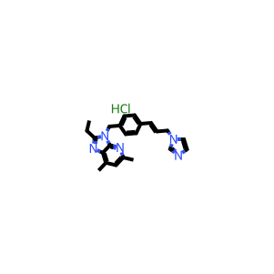 CCc1nc2c(C)cc(C)nc2n1Cc1ccc(C=CCn2ccnc2)cc1.Cl